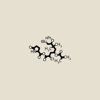 C=C(C)C(=O)OC(CC(CC)C(=O)OC(=O)C1CCC(=O)N1)CC(C)(C)C(CC(C)(C)C)OCCC